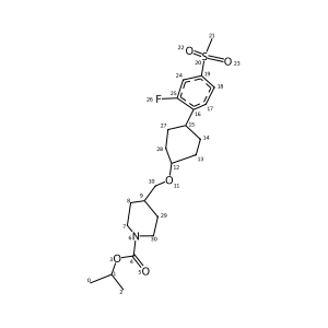 CC(C)OC(=O)N1CCC(COC2CCC(c3ccc(S(C)(=O)=O)cc3F)CC2)CC1